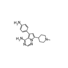 CN1CCC(c2cc(-c3ccc(N)cc3)c3c(N)ncnn23)CC1